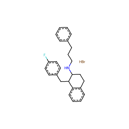 Br.Fc1ccc(CC2c3ccccc3CCC2NCCCc2ccccc2)cc1